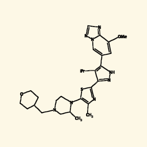 COc1cc(-c2[nH]nc(-c3nc(C)c(N4CCN(CC5CCOCC5)CC4C)s3)c2C(C)C)cn2ncnc12